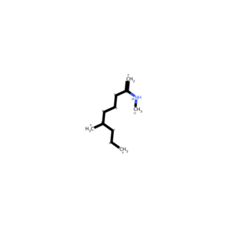 C=C(CCCC(C)CCC)NC